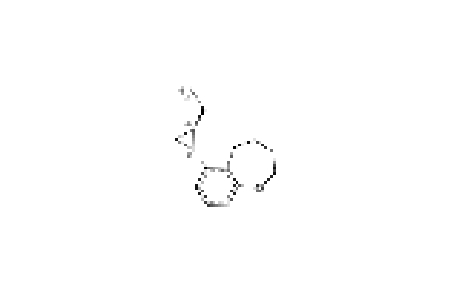 NC[C@@H]1C[C@H]1c1cccc2c1CCCCO2